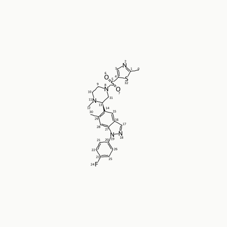 Cc1ncc(S(=O)(=O)N2CCN(C)[C@H](c3cc4cnn(-c5ccc(F)cc5)c4cc3C)C2)s1